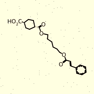 O=C(C=Cc1ccccc1)OCCCCCCOC(=O)[C@H]1CC[C@H](C(=O)O)CC1